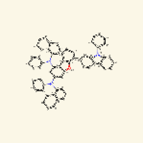 c1ccc(N(c2cc(N(c3ccccc3)c3cccc4ccccc34)c3c(c2)oc2c(-c4ccc5c6ccccc6n(-c6ccccc6)c5c4)cccc23)c2cccc3ccccc23)cc1